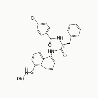 CC(C)(C)NSc1cccc2c(NC(=O)[C@H](Cc3ccccc3)NC(=O)c3ccc(Cl)cc3)cccc12